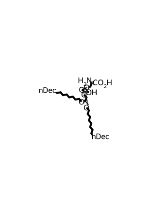 CCCCCCCCCCCCCCCCCCOC[C@H](COP(=O)(O)OC[C@H](N)C(=O)O)OCCCCCCCCCCCCCCCCCC